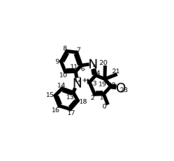 CC1=Cc2c(nc3ccccc3[n+]2-c2ccccc2)C(C)(C)C1=O